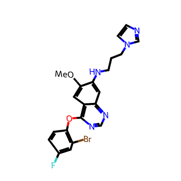 COc1cc2c(Oc3ccc(F)cc3Br)ncnc2cc1NCCCn1ccnc1